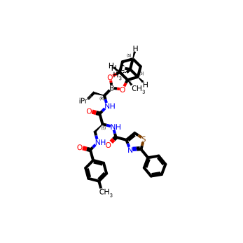 Cc1ccc(C(=O)NC[C@H](NC(=O)c2csc(-c3ccccc3)n2)C(=O)N[C@@H](CC(C)C)B2O[C@@H]3C[C@@H]4C[C@@H](C4(C)C)[C@]3(C)O2)cc1